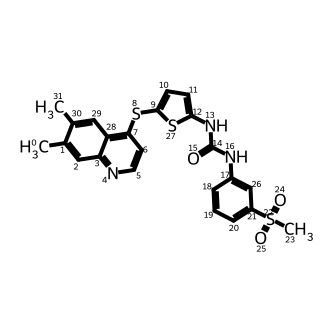 Cc1cc2nccc(Sc3ccc(NC(=O)Nc4cccc(S(C)(=O)=O)c4)s3)c2cc1C